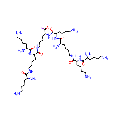 NCCCCC(N)C(=O)NCCCCC(NC(=O)C(N)CCCCN)C(=O)NCCCCC(NC(=O)C(CCCCN)NC(=O)C(N)CCCCNC(=O)C(CCCCN)NC(=O)C(N)CCCCN)C(=O)I